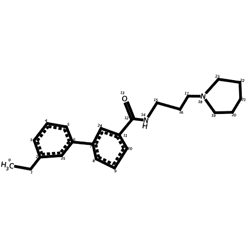 CCc1cccc(-c2cccc(C(=O)NCCCN3CCCCC3)c2)c1